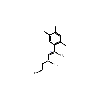 Cc1cc(C)c(/C(N)=C/N(N)CCC(C)C)cc1C